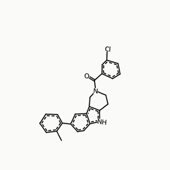 Cc1ccccc1-c1ccc2[nH]c3c(c2c1)CN(C(=O)c1cccc(Cl)c1)CC3